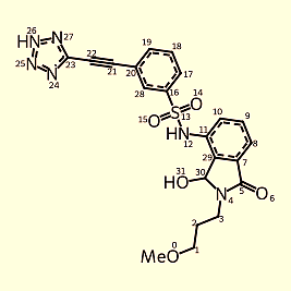 COCCCN1C(=O)c2cccc(NS(=O)(=O)c3cccc(C#Cc4nn[nH]n4)c3)c2C1O